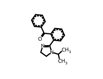 CC(C)N1CCN=C1c1ccccc1C(=O)c1ccccc1